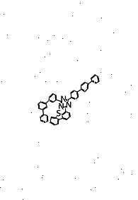 c1ccc(-c2ccc(-c3ccc(-c4nc(-c5cccc(-c6cccc(-c7ccccc7)c6)c5)nc(-c5cccc6c5sc5ccccc56)n4)cc3)cc2)cc1